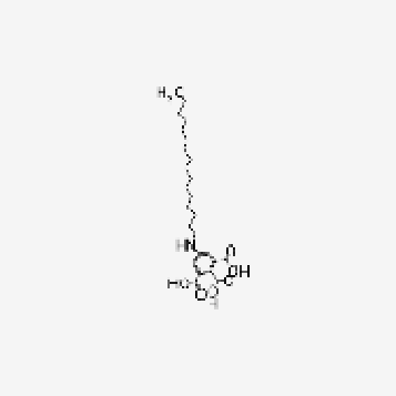 CCCCCCCCCCCCCCCCNc1cc(C(=O)O)c(C(=O)O)c(C(=O)O)c1